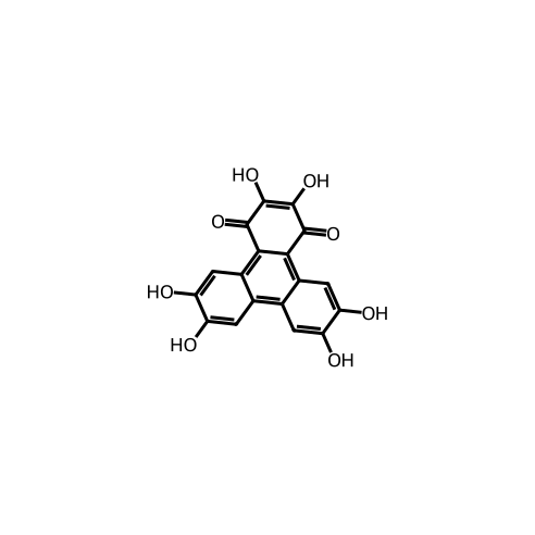 O=C1C(O)=C(O)C(=O)c2c1c1cc(O)c(O)cc1c1cc(O)c(O)cc21